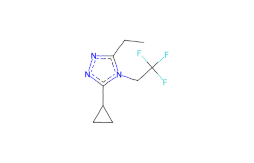 CCc1nnc(C2CC2)n1CC(F)(F)F